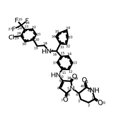 O=C1CCC(N2C(=O)C=C(Nc3cccc(C(NCCc4ccc(C(F)(F)F)c(Cl)c4)c4ccccc4)c3)C2=O)C(=O)N1